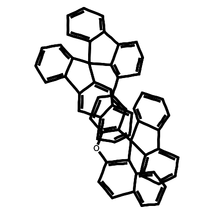 c1ccc2c(c1)-c1cc3ccccc3cc1C21c2ccccc2-c2cccc(-c3ccc4c(c3)C3(c5ccccc5-c5ccccc53)c3c(ccc5ccccc35)O4)c21